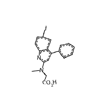 CN(CC(=O)O)c1cc(-c2ccccc2)c2cc(I)ccc2n1